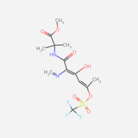 C=N/C(C(=O)NC(C)(C)C(=O)OC)=C(O)\C=C(/C)OS(=O)(=O)C(F)(F)F